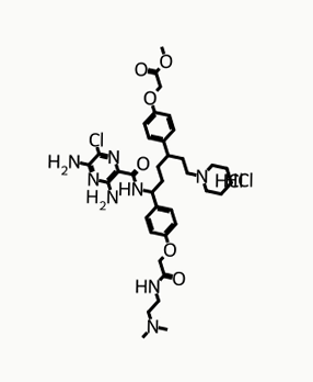 COC(=O)COc1ccc(C(CCC(NC(=O)c2nc(Cl)c(N)nc2N)c2ccc(OCC(=O)NCCN(C)C)cc2)CCN2CCCCC2)cc1.Cl.Cl